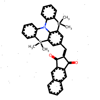 C[Si]1(C)c2ccccc2N2c3ccccc3[Si](C)(C)c3cc(C=C4C(=O)c5cc6ccccc6cc5C4=O)cc1c32